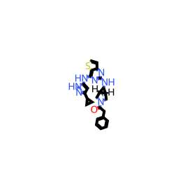 O=C(Cc1ccccc1)N1C[C@@H]2C(Nc3nc(Nc4cc(C5CC5)n[nH]4)c4sccc4n3)[C@@H]2C1